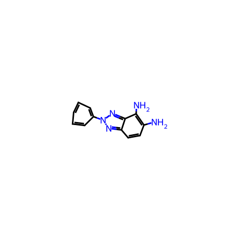 Nc1ccc2nn(-c3ccccc3)nc2c1N